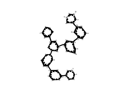 c1ccc(-c2cc(-c3cccc(-c4cccc(-c5cccnc5)c4)c3)cc(-c3cccc(-c4cccc(-c5cncnc5)c4)c3)c2)cc1